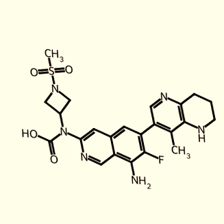 Cc1c(-c2cc3cc(N(C(=O)O)C4CN(S(C)(=O)=O)C4)ncc3c(N)c2F)cnc2c1NCCC2